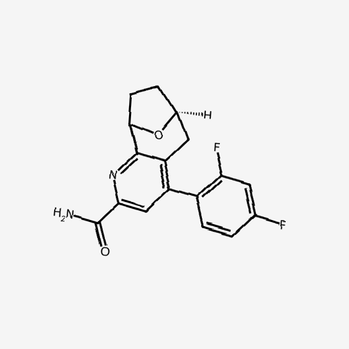 NC(=O)c1cc(-c2ccc(F)cc2F)c2c(n1)C1CC[C@@H](C2)O1